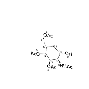 CC(=O)N[C@H]1[C@@H](OC(C)=O)[C@H](OC(C)=O)[C@H](COC(C)=O)S[C@@H]1O